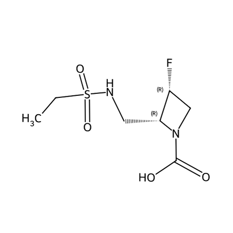 CCS(=O)(=O)NC[C@@H]1[C@H](F)CN1C(=O)O